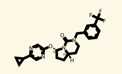 O=C1N(Cc2cccc(C(F)(F)F)c2)CC[C@@H]2CC[C@H](Oc3cnc(C4CC4)cn3)N12